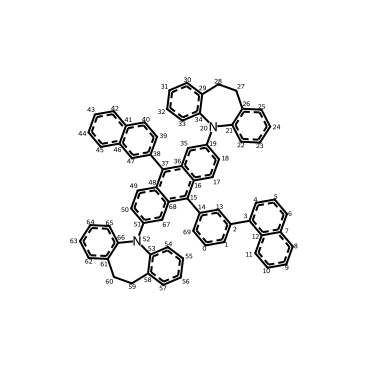 c1cc(-c2cccc3ccccc23)cc(-c2c3ccc(N4c5ccccc5CCc5ccccc54)cc3c(-c3ccc4ccccc4c3)c3ccc(N4c5ccccc5CCc5ccccc54)cc23)c1